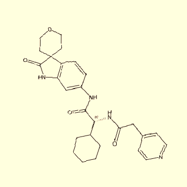 O=C(Cc1ccncc1)N[C@@H](C(=O)Nc1ccc2c(c1)NC(=O)C21CCOCC1)C1CCCCC1